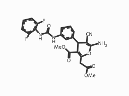 COC(=O)CC1=C(C(=O)OC)C(c2cccc(NC(=O)Nc3c(F)cccc3F)c2)C(C#N)=C(N)O1